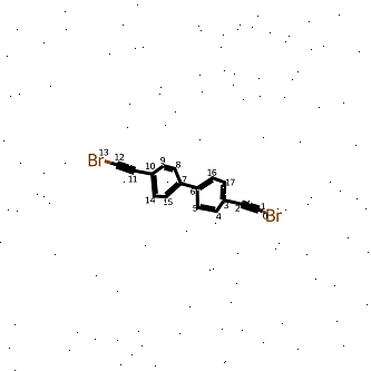 BrC#Cc1ccc(-c2ccc(C#CBr)cc2)cc1